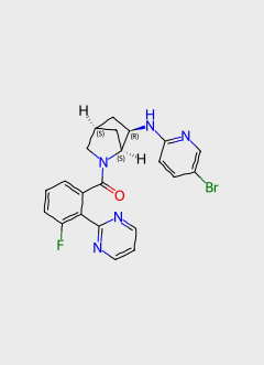 O=C(c1cccc(F)c1-c1ncccn1)N1C[C@H]2C[C@@H](Nc3ccc(Br)cn3)[C@@H]1C2